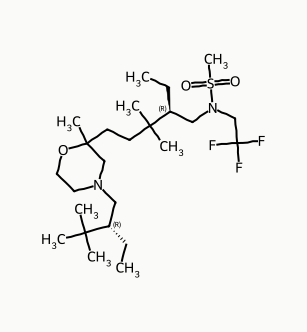 CC[C@@H](CN1CCOC(C)(CCC(C)(C)[C@@H](CC)CN(CC(F)(F)F)S(C)(=O)=O)C1)C(C)(C)C